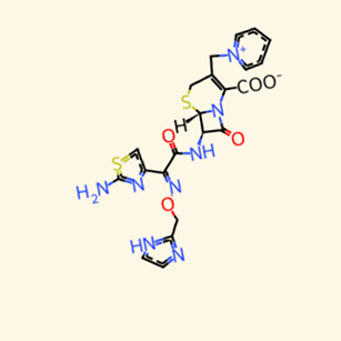 Nc1nc(C(=NOCc2ncc[nH]2)C(=O)N[C@@H]2C(=O)N3C(C(=O)[O-])=C(C[n+]4ccccc4)CS[C@@H]23)cs1